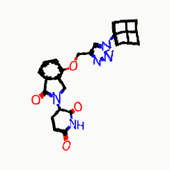 O=C1CCC(N2Cc3c(OCc4cn(C56CC7CC8CC(C5)C876)nn4)cccc3C2=O)C(=O)N1